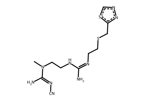 CN(CCNC(N)=NCCSCc1nncs1)C(N)=NC#N